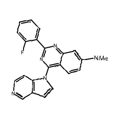 CNc1ccc2c(-n3ccc4cnccc43)nc(-c3ccccc3F)nc2c1